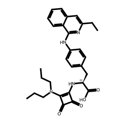 CCCN(CCC)c1c(N[C@@H](Cc2ccc(Nc3nc(CC)cc4ccccc34)cc2)C(=O)O)c(=O)c1=O